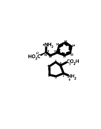 NC1CCCCC1C(=O)O.N[C@@H](Cc1ccccc1)C(=O)O